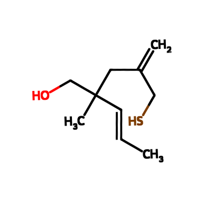 C=C(CS)CC(C)(C=CC)CO